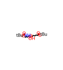 CC(CCP(O)OCCCCCC(=O)OC(C)(C)C)NC(=O)OC(C)(C)C